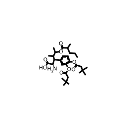 CCCC(C)C(=O)OC(C)C(C)C(c1ccc(OC(=O)CC(C)(C)C)c(OC(=O)CC(C)(C)C)c1)[C@H](N)C(=O)O